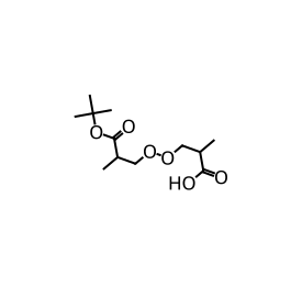 CC(COOCC(C)C(=O)OC(C)(C)C)C(=O)O